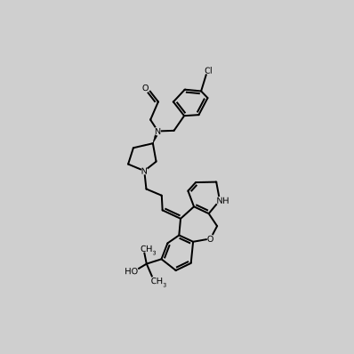 CC(C)(O)c1ccc2c(c1)/C(=C/CCN1CC[C@@H](N(CC=O)Cc3ccc(Cl)cc3)C1)C1=C(CO2)NCC=C1